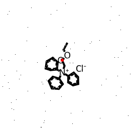 CCOC(=O)C[N+](c1ccccc1)(c1ccccc1)c1ccccc1.[Cl-]